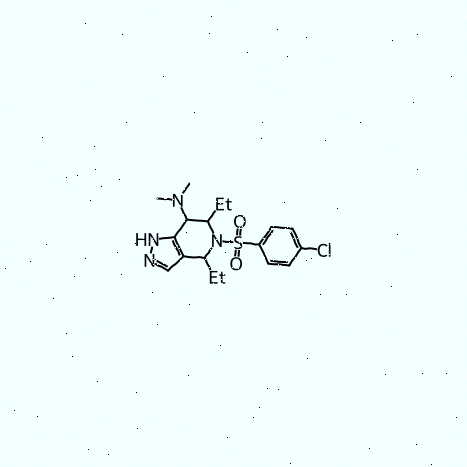 CCC1c2cn[nH]c2C(N(C)C)C(CC)N1S(=O)(=O)c1ccc(Cl)cc1